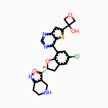 OC1(c2cc3ncnc(-c4cc(Cl)cc5c4O[C@@H](c4onc6c4CNCC6)C5)c3s2)COC1